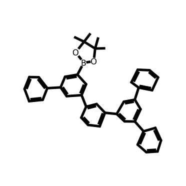 CC1(C)OB(c2cc(-c3ccccc3)cc(-c3cccc(-c4cc(-c5ccccc5)cc(-c5ccccc5)c4)c3)c2)OC1(C)C